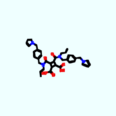 CCCN(Cc1ccc(Cn2cccc2)cc1)C(=O)C1C(C(=O)O)C(C(=O)O)C1C(=O)N(CCC)Cc1ccc(Cn2cccc2)cc1